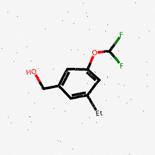 CCc1cc([CH]O)cc(OC(F)F)c1